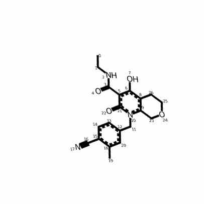 CCNC(=O)c1c(O)c2c(n(Cc3ccc(C#N)c(C)c3)c1=O)COCC2